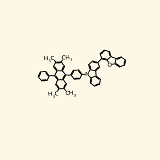 Cc1cc2c(-c3ccccc3)c3cc(C)c(C)cc3c(-c3ccc(-n4c5ccccc5c5cc(-c6cccc7c6oc6ccccc67)ccc54)cc3)c2cc1C